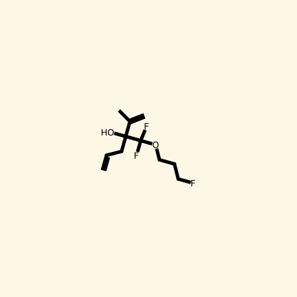 C=CCC(O)(C(=C)C)C(F)(F)OCCCF